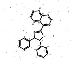 c1ccc(C2N=C(c3ncnc4nccnc34)SC2c2ccccc2)cc1